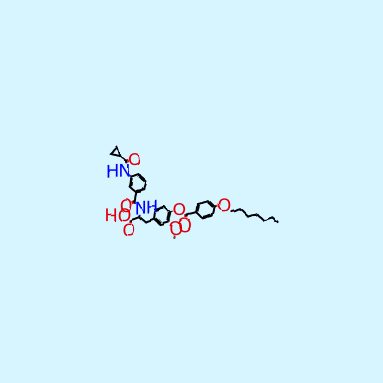 CCCCCCCOc1ccc(C(=O)Oc2ccc(CC(NC(=O)c3cccc(NC(=O)C4CC4)c3)C(=O)O)cc2OC)cc1